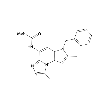 CNC(=O)Nc1cc2c(cc(C)n2Cc2ccccc2)n2c(C)nnc12